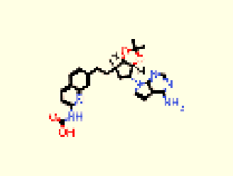 CC1(C)O[C@H]2[C@H](n3ccc4c(N)ncnc43)C[C@](C)(CCc3ccc4ccc(NC(=O)O)nc4c3)[C@H]2O1